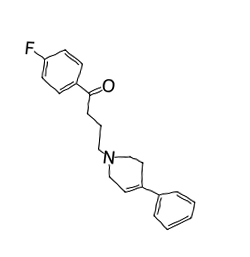 O=C(CCCN1CC=C(c2ccccc2)CC1)c1ccc(F)cc1